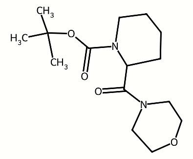 CC(C)(C)OC(=O)N1CCCCC1C(=O)N1CCOCC1